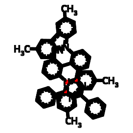 Cc1ccc2c(c1)c1cc(C)ccc1n2-c1cccc(C#N)c1-c1c(-c2nc(-c3ccccc3)nc(-c3ccccc3)n2)cccc1-n1c2ccc(C)cc2c2cc(C)ccc21